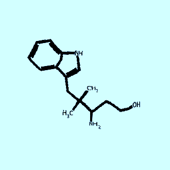 CC(C)(Cc1c[nH]c2ccccc12)C(N)CCO